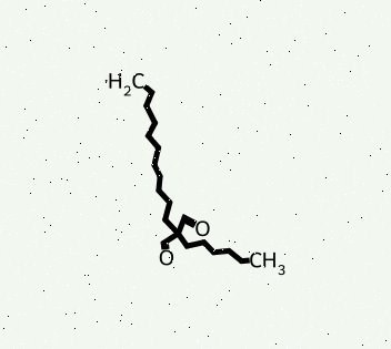 [CH2]CCCCCCCCCCC(C=O)(C=O)CCCCCC